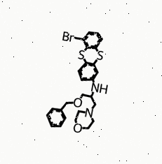 Brc1cccc2c1Sc1ccc(NC(COCc3ccccc3)CN3CCOCC3)cc1S2